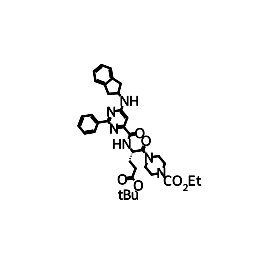 CCOC(=O)N1CCN(C(=O)[C@H](CCC(=O)OC(C)(C)C)NC(=O)c2cc(NC3Cc4ccccc4C3)nc(-c3ccccc3)n2)CC1